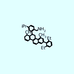 CCc1cccc(CC)c1-c1cc(C)c2c3c(ccc2c1)C1=C(C(C)CC=C1)C(c1cc(C(C)C)ccc1CN)C3